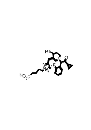 O=C(O)CCCCn1nnc(/C=C2\CN(C(C(=O)C3CC3)c3ccccc3F)CCC2S)n1